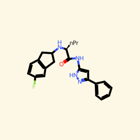 CCC[C@H](NC1Cc2ccc(F)cc2C1)C(=O)Nc1cc(-c2ccccc2)n[nH]1